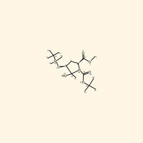 COC(=O)[C@@H]1C[C@H](O[Si](C)(C)C(C)(C)C)C(C)(O)N1C(=O)OC(C)(C)C